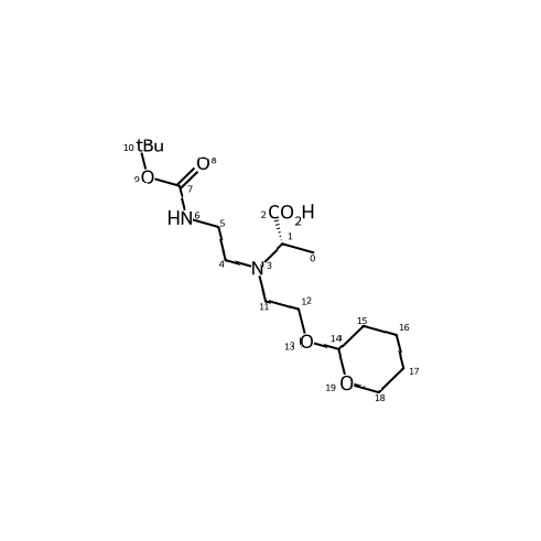 C[C@@H](C(=O)O)N(CCNC(=O)OC(C)(C)C)CCOC1CCCCO1